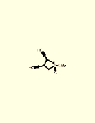 C#CC1CP(=S)(SC)OC1C#C